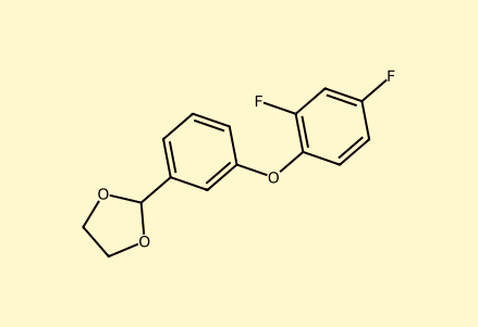 Fc1ccc(Oc2cccc(C3OCCO3)c2)c(F)c1